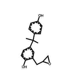 CC(C)(c1ccc(O)cc1)c1ccc(O)c(CC2CO2)c1